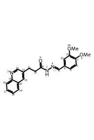 COc1ccc(/C=N/NC(=O)CCc2cnc3ccccc3c2)cc1OC